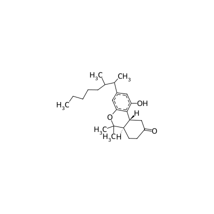 CCCCCC(C)C(C)c1cc(O)c2c(c1)OC(C)(C)[C@@H]1CCC(=O)C[C@@H]21